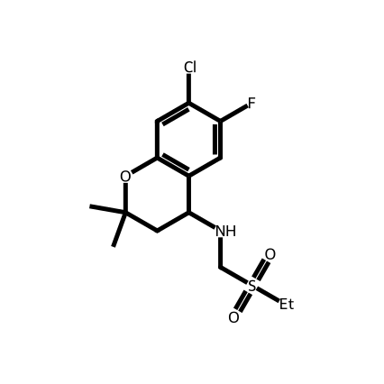 CCS(=O)(=O)CNC1CC(C)(C)Oc2cc(Cl)c(F)cc21